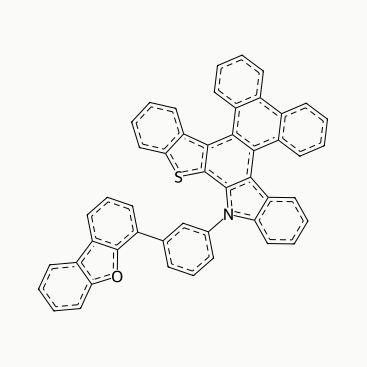 c1cc(-c2cccc3c2oc2ccccc23)cc(-n2c3ccccc3c3c4c5ccccc5c5ccccc5c4c4c5ccccc5sc4c32)c1